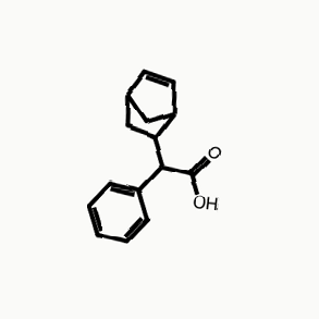 O=C(O)C(c1ccccc1)C1CC2C=CC1C2